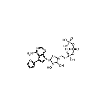 Nc1ncnc2c1c(-c1ccco1)cn2[C@@H]1O[C@H](COP(=O)(O)OP(=O)(O)OP(=O)(O)O)C(O)[C@@H]1O